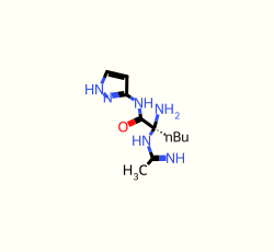 CCCC[C@](N)(NC(C)=N)C(=O)Nc1cc[nH]n1